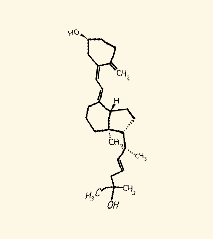 C=C1CC[C@H](O)C/C1=C/C=C1\CCC[C@]2(C)[C@@H]([C@H](C)/C=C/CC(C)(C)O)CC[C@@H]12